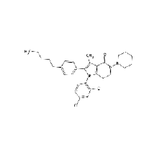 CCCCCc1ccc(-c2c(C)c3c(n2-c2ccc(Cl)cc2Cl)CCN(N2CCCCC2)C3=O)cc1